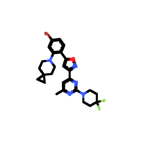 Cc1cc(-c2cc(-c3ccc(Br)cc3N3CCC4(CC3)CC4)on2)nc(N2CCC(F)(F)CC2)n1